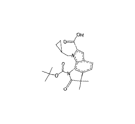 CC(C)(C)OC(=O)N1C(=O)C(C)(C)c2ccc3cc(C(=O)O)n(CC4CC4)c3c21